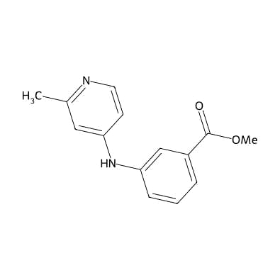 COC(=O)c1cccc(Nc2ccnc(C)c2)c1